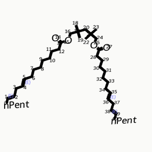 CCCCC/C=C/C/C=C/CCCCCCCC(=O)OCC(C)(C)CC(C)(C)COC(=O)CCCCCCC/C=C/C/C=C/CCCCC